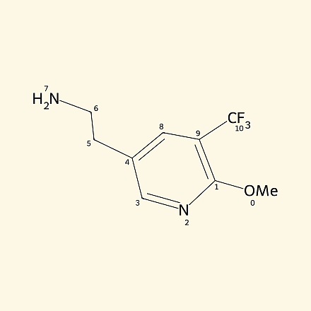 COc1ncc(CCN)cc1C(F)(F)F